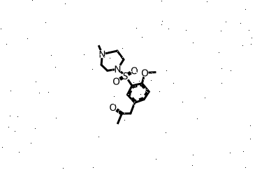 COc1ccc(CC(C)=O)cc1S(=O)(=O)N1CCN(C)CC1